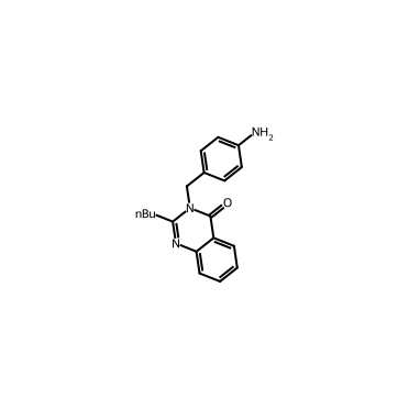 CCCCc1nc2ccccc2c(=O)n1Cc1ccc(N)cc1